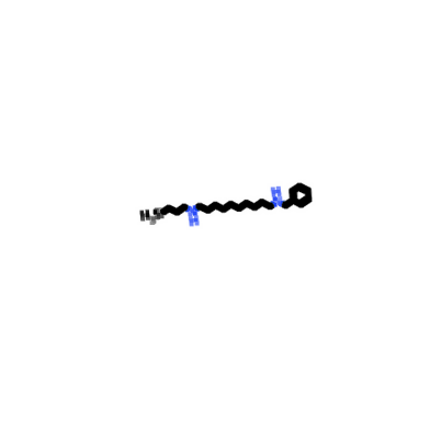 [SiH3]CCCNCCCCCCCCCCNCc1ccccc1